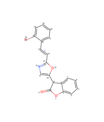 O=C1Oc2ccccc2C1c1cnc(/C=C/c2ccccc2Br)o1